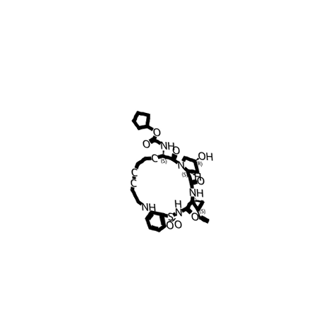 C=C[C@@H]1C[C@@]12NC(=O)[C@@H]1C[C@@H](O)CN1C(=O)[C@@H](NC(=O)OC1CCCC1)CCCCCCCNc1ccccc1S(=O)(=O)NC2=O